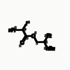 CCCCC(CC)COC(=O)C(I)CCC